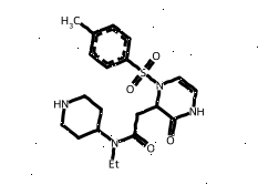 CCN(C(=O)CC1C(=O)NC=CN1S(=O)(=O)c1ccc(C)cc1)C1CCNCC1